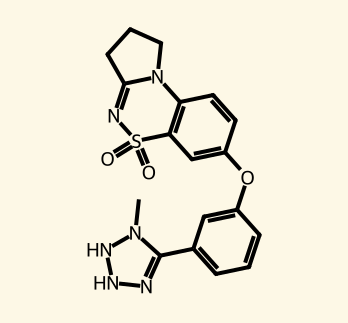 CN1NNN=C1c1cccc(Oc2ccc3c(c2)S(=O)(=O)N=C2CCCN23)c1